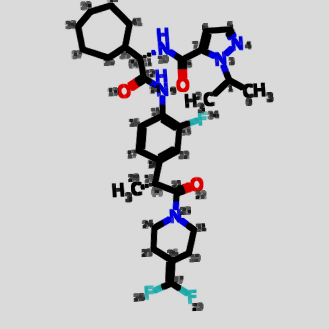 CC(C)n1nccc1C(=O)N[C@H](C(=O)Nc1ccc([C@@H](C)C(=O)N2CCC(=C(F)F)CC2)cc1F)C1CCCCCC1